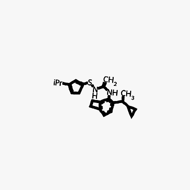 C=C(NSC1=CC(C(C)C)=CC1)Nc1c(C(C)C2CC2)ccc2c1CC2